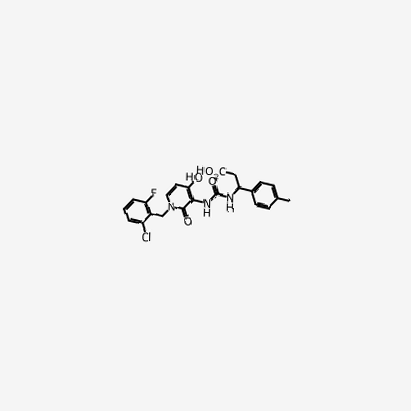 Cc1ccc(C(CC(=O)O)NC(=O)Nc2c(O)ccn(Cc3c(F)cccc3Cl)c2=O)cc1